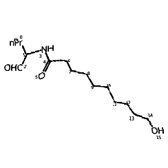 CCCC(C=O)NC(=O)CCCCCCCCCO